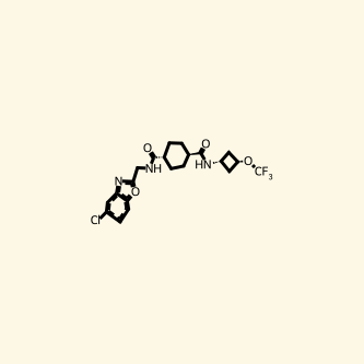 O=C(NCc1nc2cc(Cl)ccc2o1)[C@H]1CC[C@H](C(=O)N[C@H]2C[C@@H](OC(F)(F)F)C2)CC1